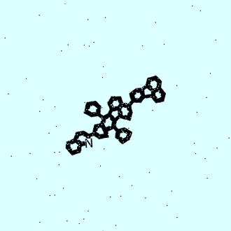 c1ccc(-c2c3c(c(-c4ccccc4)c4cc(-c5ccc6ccccc6n5)ccc24)-c2cccc4c(-c5ccc6c(c5)-c5cccc7cccc-6c57)ccc-3c24)cc1